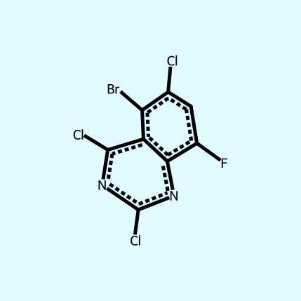 Fc1cc(Cl)c(Br)c2c(Cl)nc(Cl)nc12